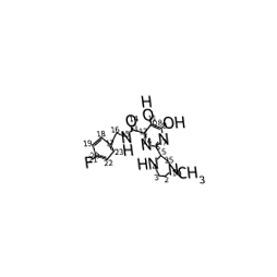 CN1CCNC(c2nc(O)c(O)c(C(=O)NCc3ccc(F)cc3)n2)C1